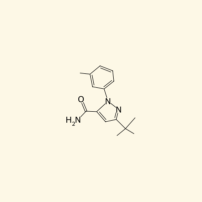 Cc1cccc(-n2nc(C(C)(C)C)cc2C(N)=O)c1